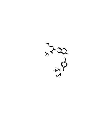 [2H]C1([2H])OC([2H])([2H])C([2H])([2H])N(Cc2ccc(COC3=C4CN(C(CCC(N)=O)C(=O)OC(C)(C)C)C=C4C=CC3=O)cc2)C1([2H])[2H]